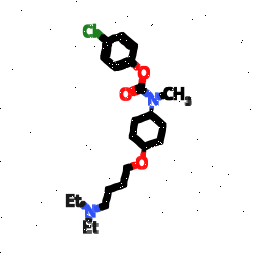 CCN(CC)CCCCO[C@H]1CC[C@H](N(C)C(=O)Oc2ccc(Cl)cc2)CC1